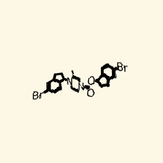 C[C@H]1CN(C(=O)OC2CCc3cc(Br)ccc32)CCN1C1CCc2cc(Br)ccc21